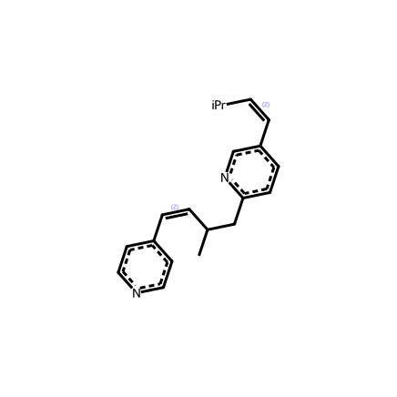 CC(C)/C=C\c1ccc(CC(C)/C=C\c2ccncc2)nc1